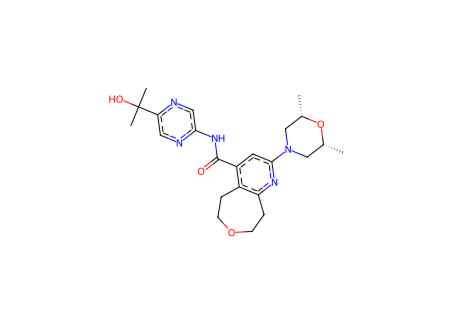 C[C@@H]1CN(c2cc(C(=O)Nc3cnc(C(C)(C)O)cn3)c3c(n2)CCOCC3)C[C@H](C)O1